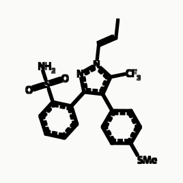 CC=Cn1nc(-c2ccccc2S(N)(=O)=O)c(-c2ccc(SC)cc2)c1C(F)(F)F